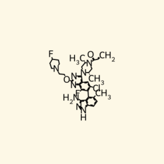 C=CC(=O)N1C[C@H](C)N(c2nc(OCCN3CCC(F)CC3)nc3c(F)c(-c4c(C)ccc5[nH]nc(N)c45)c(Cl)cc23)C[C@H]1C